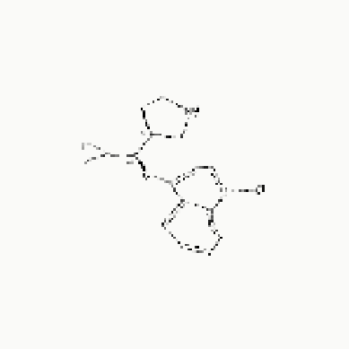 Clc1ccc(O[C@@H](C2CC2)[C@H]2CCNC2)c2ccccc12